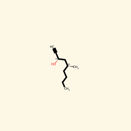 C#C[C@@H](O)C[C@H](C)CCCC